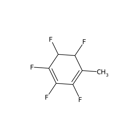 CC1=C(F)C(F)=C(F)C(F)C1F